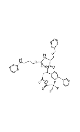 O=C(CC(NC(=O)C(COCc1ccccc1)NC(=O)OCCCNc1ccccn1)c1ccc(-c2ccccc2)cc1)OC(=O)C(F)(F)F